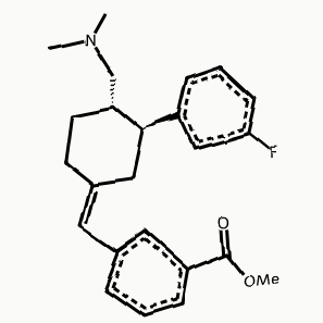 COC(=O)c1cccc(/C=C2/CC[C@H](CN(C)C)[C@@H](c3cccc(F)c3)C2)c1